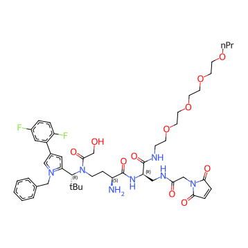 CCCOCCOCCOCCOCCNC(=O)[C@@H](CNC(=O)CN1C(=O)C=CC1=O)NC(=O)[C@@H](N)CCN(C(=O)CO)[C@@H](c1cc(-c2cc(F)ccc2F)cn1Cc1ccccc1)C(C)(C)C